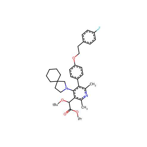 Cc1nc(C)c(C(OC(C)(C)C)C(=O)OC(C)C)c(N2CCC3(CCCCC3)C2)c1-c1ccc(OCCc2ccc(F)cc2)cc1